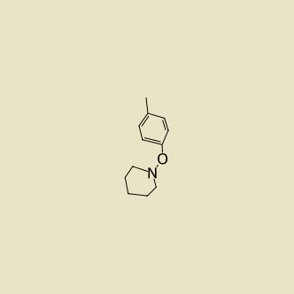 Cc1ccc(ON2CCCCC2)cc1